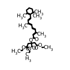 CCOC(=O)CC(CC(=O)OCC)(OC(=O)C=C(C)C=CC=C(C)C=CC1=C(C)CCCC1(C)C)C(=O)OCC